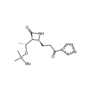 C[C@@H](O[Si](C)(C)C(C)(C)C)[C@H]1C(=O)N[C@H]1CCC(=O)n1ccnc1